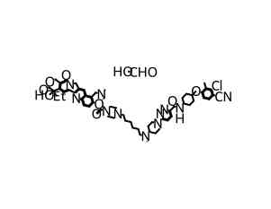 CC[C@@]1(O)C(=O)OCc2c1cc1n(c2=O)Cc2cc3c(CN(C)C)c(OC(=O)N4CCN(CCCCCCN(C)C5CCN(c6ccc(C(=O)NC7CCC(Oc8ccc(C#N)c(Cl)c8C)CC7)nn6)CC5)CC4)ccc3nc2-1.O=CO